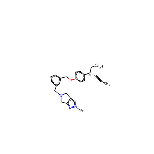 CC#C[C@@H](CC(=O)O)c1ccc(OCc2cccc(CN3Cc4cn(C(C)C)nc4C3)c2)cc1